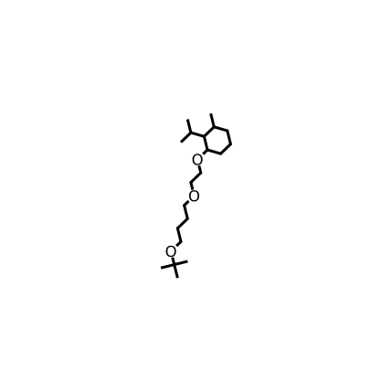 CC(C)C1C(C)CCCC1OCCOCCCCOC(C)(C)C